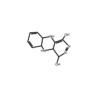 OC1=C2NC3C=CC=CC3NC2C(O)N=N1